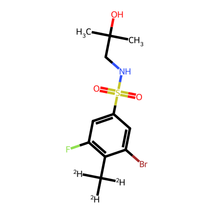 [2H]C([2H])([2H])c1c(F)cc(S(=O)(=O)NCC(C)(C)O)cc1Br